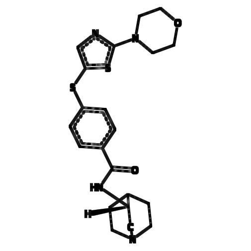 O=C(N[C@H]1CN2CCC1CC2)c1ccc(Sc2cnc(N3CCOCC3)s2)cc1